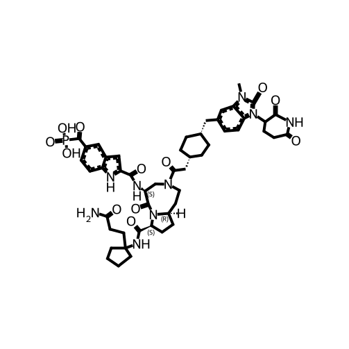 Cn1c(=O)n(C2CCC(=O)NC2=O)c2ccc(C[C@H]3CC[C@@H](CC(=O)N4CC[C@H]5CC[C@@H](C(=O)NC6(CCC(N)=O)CCCC6)N5C(=O)[C@@H](NC(=O)c5cc6cc(C(=O)P(=O)(O)O)ccc6[nH]5)C4)CC3)cc21